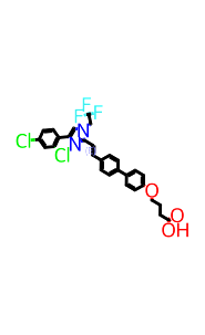 O=C(O)CCCOc1ccc(-c2ccc(/C=C/c3nc(-c4ccc(Cl)cc4Cl)cn3CC(F)(F)F)cc2)cc1